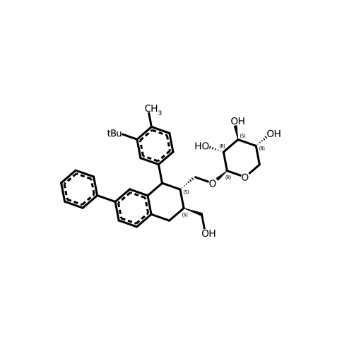 Cc1ccc(C2c3cc(-c4ccccc4)ccc3C[C@H](CO)[C@H]2CO[C@@H]2OC[C@@H](O)[C@H](O)[C@H]2O)cc1C(C)(C)C